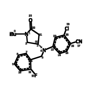 CCC(C)N1C[C@@H](N(Cc2ccccc2F)c2ccc(C#N)c(Cl)c2)CC1=O